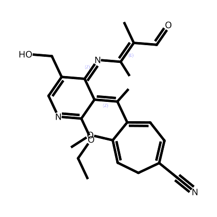 CCOC1=NC=C(CO)C(=N/C(C)=C(\C)C=O)/C1=C(\C)C1=CC=C(C#N)CC=C1OC